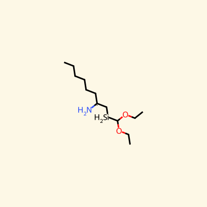 CCCCCC[C](N)C[SiH2]C(OCC)OCC